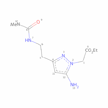 CCOC(=O)Cn1nc(CCNC(=O)NC)cc1N